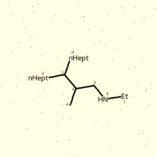 CCCCCCCC(CCCCCCC)C(C)CNCC